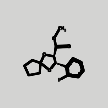 COC(=O)[C@@H]1OC2(CCCC2)O[C@H]1c1ccccc1F